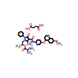 COc1ccc2c(Oc3ccc(NC(=O)c4c(C)n(CC(C)OC(=O)C(C)N)n(-c5ccccc5)c4=O)nc3)ccnc2c1.O=C(O)CCC(=O)O